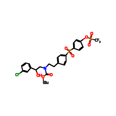 CC(C)(C)OC(=O)N(CCc1ccc(S(=O)(=O)c2ccc(OS(=O)(=O)C(F)(F)F)cc2)cc1)C[C@@H](O)c1cccc(Cl)c1